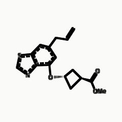 C=CCc1cc(O[C@H]2C[C@H](C(=O)OC)C2)c2ncsc2c1